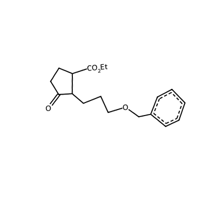 CCOC(=O)C1CCC(=O)C1CCCOCc1ccccc1